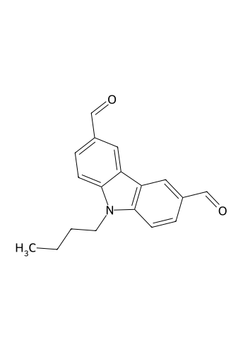 CCCCn1c2ccc(C=O)cc2c2cc(C=O)ccc21